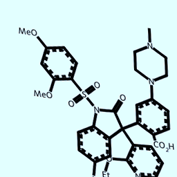 CCOc1ncccc1C1(c2cc(N3CCN(C)CC3)ccc2C(=O)O)C(=O)N(S(=O)(=O)c2ccc(OC)cc2OC)c2ccc(I)cc21